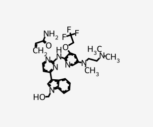 C=CC(N)=O.CN(C)CCN(C)c1cnc(Nc2nccc(-c3cn(CO)c4ccccc34)n2)c(OCC(F)(F)F)c1